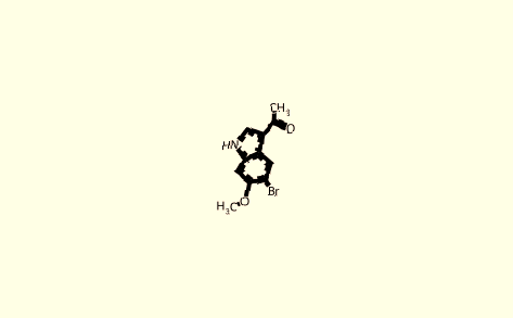 COc1cc2[nH]cc(C(C)=O)c2cc1Br